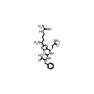 N=C(N)NCCC[C@H](N)c1noc([C@H](CCC(N)=O)NC(=O)N[C@@H](Cc2ccccc2)C(=O)O)n1